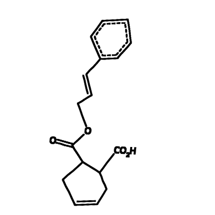 O=C(O)C1CC=CCC1C(=O)OCC=Cc1ccccc1